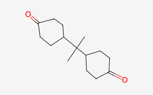 CC(C)(C1CCC(=O)CC1)C1CCC(=O)CC1